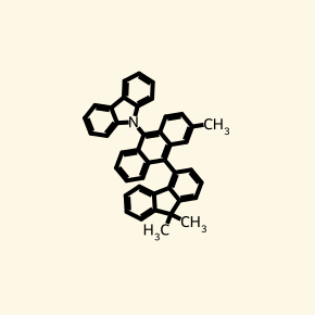 Cc1ccc2c(-n3c4ccccc4c4ccccc43)c3ccccc3c(-c3cccc4c3-c3ccccc3C4(C)C)c2c1